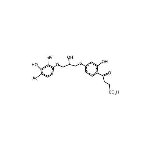 CCCc1c(OCC(O)CSc2ccc(C(=O)CCC(=O)O)c(O)c2)ccc(C(C)=O)c1O